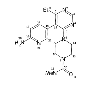 CCc1ncnc(N2CCN(C(=O)NC)CC2)c1-c1ccc(N)nc1